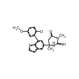 COc1ccc(Cl)c(-c2cc([C@]3(C)CC(=O)N(C)C(=N)N3)cc3ccsc23)c1